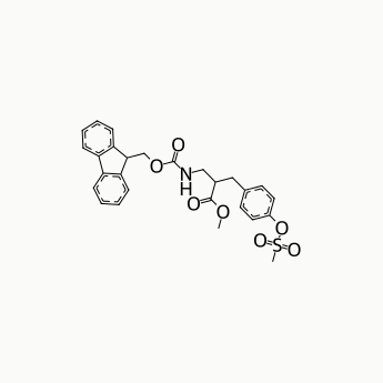 COC(=O)C(CNC(=O)OCC1c2ccccc2-c2ccccc21)Cc1ccc(OS(C)(=O)=O)cc1